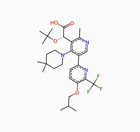 Cc1ncc(-c2ccc(OCC(C)C)c(C(F)(F)F)n2)c(N2CCC(C)(C)CC2)c1[C@H](OC(C)(C)C)C(=O)O